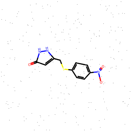 O=c1cc(CSc2ccc([N+](=O)[O-])cc2)[nH][nH]1